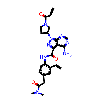 C=CC(=O)N1CCC(n2nc(C(=O)Nc3ccc(CC(=O)N(C)C)cc3C=C)c3c(N)ncnc32)C1